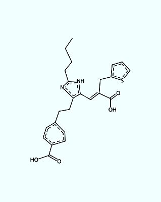 CCCCc1nc(CCc2ccc(C(=O)O)cc2)c(/C=C(\Cc2cccs2)C(=O)O)[nH]1